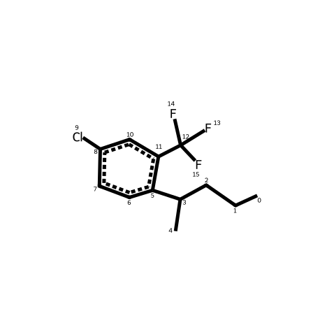 CCCC(C)c1ccc(Cl)cc1C(F)(F)F